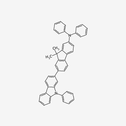 CC1(C)c2cc(-c3ccc4c5ccccc5n(-c5ccccc5)c4c3)ccc2-c2ccc(N(c3ccccc3)c3ccccc3)cc21